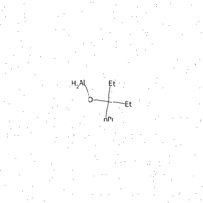 CCCC(CC)(CC)[O][AlH2]